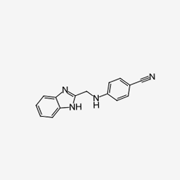 N#Cc1ccc(NCc2nc3ccccc3[nH]2)cc1